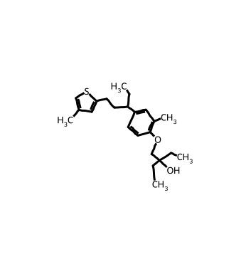 CCC(CCc1cc(C)cs1)c1ccc(OCC(O)(CC)CC)c(C)c1